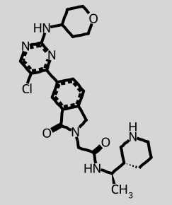 C[C@@H](NC(=O)CN1Cc2ccc(-c3nc(NC4CCOCC4)ncc3Cl)cc2C1=O)[C@H]1CCCNC1